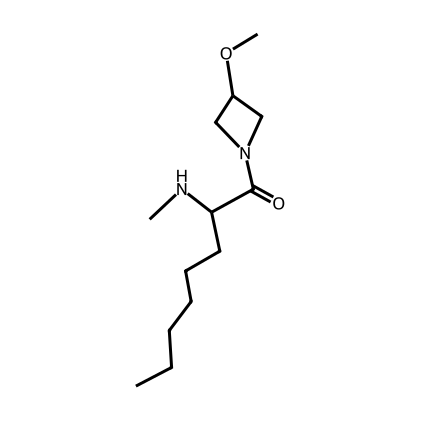 CCCCCCC(NC)C(=O)N1CC(OC)C1